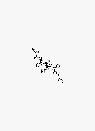 CCCOC(=O)C12CC(C(=O)OCCC)(C1)C2Br